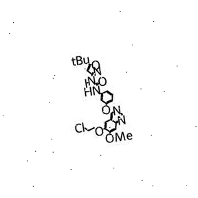 COc1cc2ncnc(Oc3cccc(NC(=O)N(I)c4cc(C(C)(C)C)on4)c3)c2cc1OCCCl